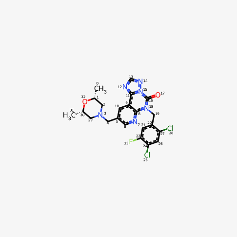 C[C@@H]1CN(Cc2cnc3c(c2)c2ncnn2c(=O)n3Cc2cc(F)c(Cl)cc2Cl)C[C@H](C)O1